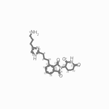 NCCCc1c[nH]c(CCCc2cccc3c2C(=O)N(C2CCC(=O)NC2=O)C3=O)n1